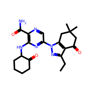 CCc1nn(-c2cnc(C(N)=O)c(NC3CCCCC3=O)n2)c2c1C(=O)CC(C)(C)C2